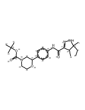 CCC1(C)NN=C(C(=O)Nc2ccc(C3CN(C(=O)OC(C)(C)C)CCO3)cc2)C1C